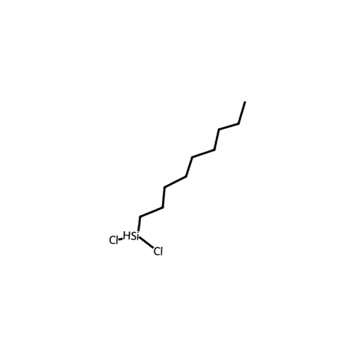 CCCCCCCCC[SiH](Cl)Cl